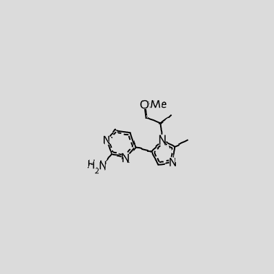 COCC(C)n1c(-c2ccnc(N)n2)cnc1C